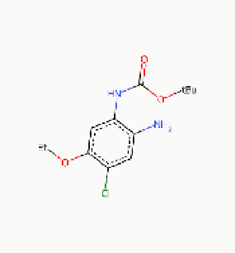 CCOc1cc(NC(=O)OC(C)(C)C)c(N)cc1Cl